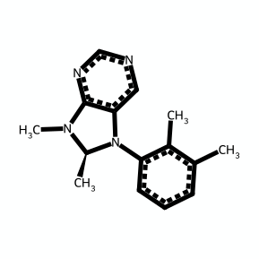 Cc1cccc(N2c3cncnc3N(C)[C@@H]2C)c1C